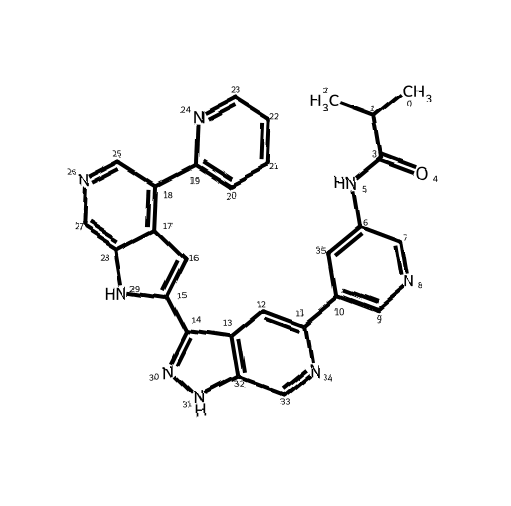 CC(C)C(=O)Nc1cncc(-c2cc3c(-c4cc5c(-c6ccccn6)cncc5[nH]4)n[nH]c3cn2)c1